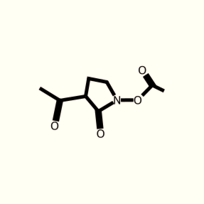 CC(=O)ON1CCC(C(C)=O)C1=O